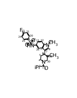 CC(C)C(=O)N1CC[C@@H](c2cn(C)c3ccc(NS(=O)(=O)c4ccc(F)cc4)cc23)[C@@H](C)C1